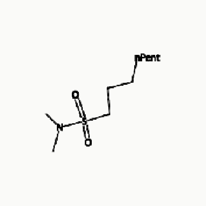 CCCCCCCCS(=O)(=O)N(C)C